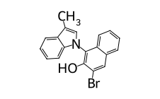 Cc1cn(-c2c(O)c(Br)cc3ccccc23)c2ccccc12